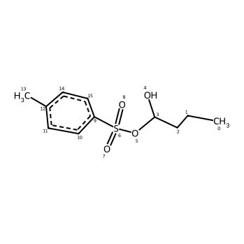 CCCC(O)OS(=O)(=O)c1ccc(C)cc1